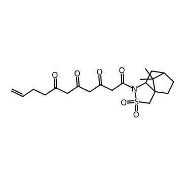 C=CCCC(=O)CC(=O)CC(=O)CC(=O)N1C2CC3CCC2(CS1(=O)=O)C3(C)C